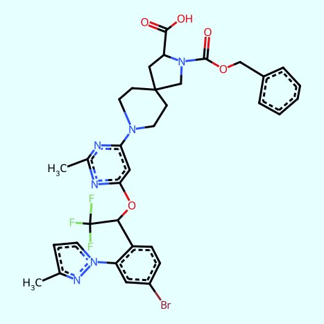 Cc1ccn(-c2cc(Br)ccc2C(Oc2cc(N3CCC4(CC3)CC(C(=O)O)N(C(=O)OCc3ccccc3)C4)nc(C)n2)C(F)(F)F)n1